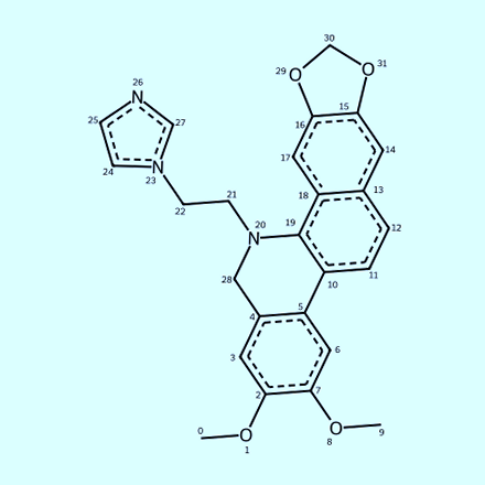 COc1cc2c(cc1OC)-c1ccc3cc4c(cc3c1N(CCn1ccnc1)C2)OCO4